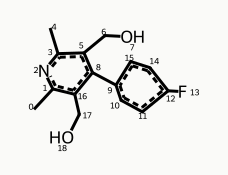 Cc1nc(C)c(CO)c(-c2ccc(F)cc2)c1CO